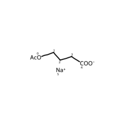 CC(=O)OCCCC(=O)[O-].[Na+]